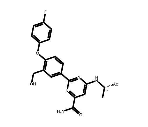 CC(=O)[C@H](C)Nc1cc(C(N)=O)nc(-c2ccc(Oc3ccc(F)cc3)c(CO)c2)n1